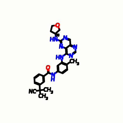 Cc1ccc(NC(=O)c2cccc(C(C)(C)C#N)c2)cc1Nc1ncnc2cnc(N[C@H]3CCOC3)nc12